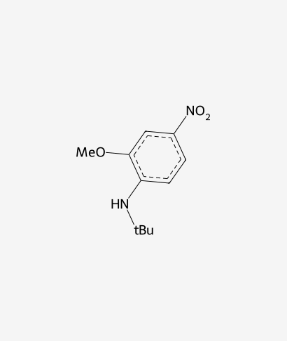 COc1cc([N+](=O)[O-])ccc1NC(C)(C)C